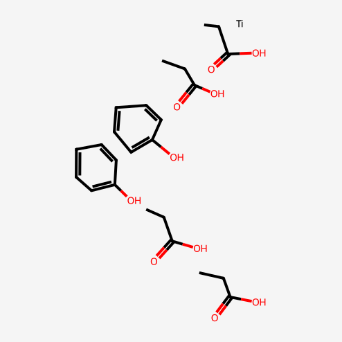 CCC(=O)O.CCC(=O)O.CCC(=O)O.CCC(=O)O.Oc1ccccc1.Oc1ccccc1.[Ti]